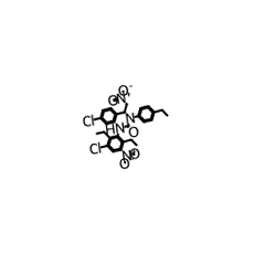 CCc1ccc(N(C(=O)Nc2c(CC)c(Cl)cc([N+](=O)[O-])c2CC)C(C[N+](=O)[O-])c2ccc(Cl)cc2)cc1